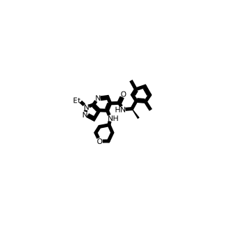 CCn1ncc2c(NC3CCOCC3)c(C(=O)N[C@H](C)c3cc(C)ccc3C)cnc21